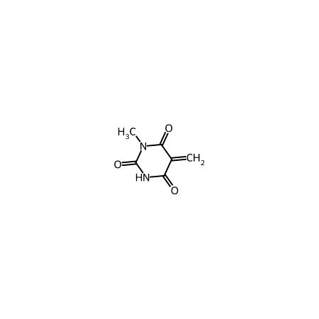 C=C1C(=O)NC(=O)N(C)C1=O